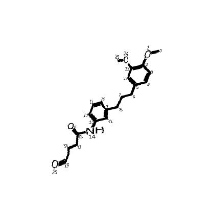 COc1ccc(CCCc2cccc(NC(=O)CCC=O)c2)cc1OC